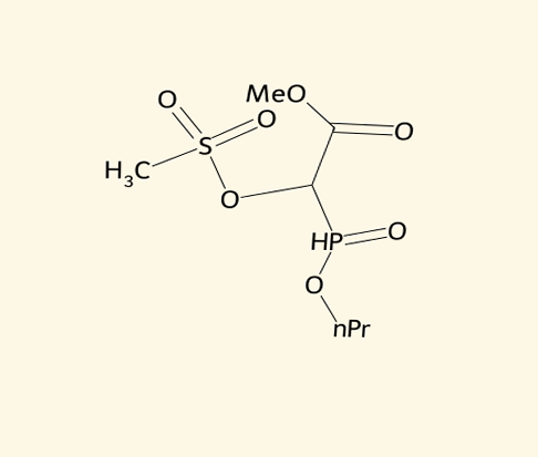 CCCO[PH](=O)C(OS(C)(=O)=O)C(=O)OC